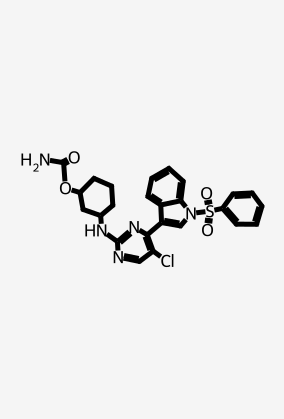 NC(=O)OC1CCCC(Nc2ncc(Cl)c(-c3cn(S(=O)(=O)c4ccccc4)c4ccccc34)n2)C1